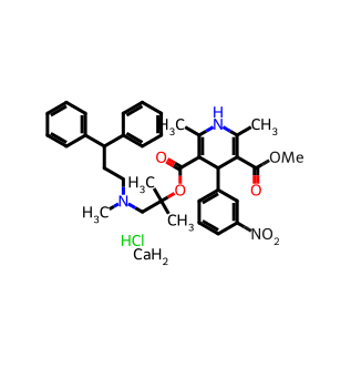 COC(=O)C1=C(C)NC(C)=C(C(=O)OC(C)(C)CN(C)CCC(c2ccccc2)c2ccccc2)C1c1cccc([N+](=O)[O-])c1.Cl.[CaH2]